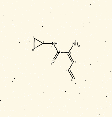 C=C/C=C(/N)C(=O)NC1CC1